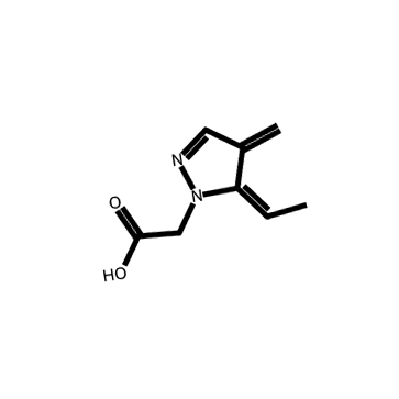 C=c1cnn(CC(=O)O)/c1=C/C